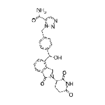 NC(=O)c1cnnn1Cc1ccc(C(O)c2cccc3c2CN(C2CCC(=O)NC2=O)C3=O)cc1